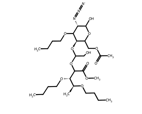 CCCCOC1[C@H](N=[N+]=[N-])C(O)OC(COC(C)=O)[C@H]1OC(CO)OC(C(=O)OC)[C@@H](OCCCC)[C@H](C)OCCCC